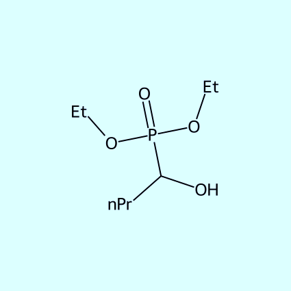 CCCC(O)P(=O)(OCC)OCC